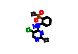 CCc1ncc(Cl)c(Nc2ccccc2S(=O)(=O)CC)n1